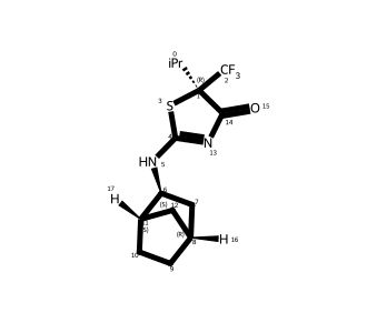 CC(C)[C@@]1(C(F)(F)F)SC(N[C@H]2C[C@@H]3CC[C@H]2C3)=NC1=O